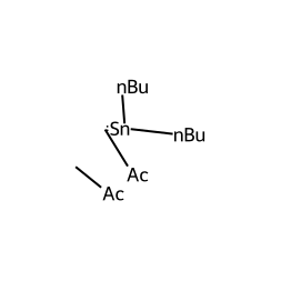 CC(C)=O.CC(C)=O.CCC[CH2][Sn][CH2]CCC